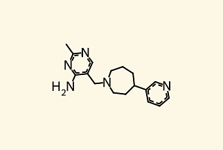 Cc1ncc(CN2CCCC(c3cccnc3)CC2)c(N)n1